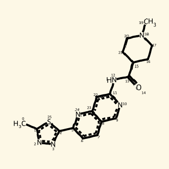 Cc1nnc(-c2ccc3cnc(NC(=O)C4CCN(C)CC4)cc3n2)s1